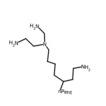 CCCCCC(CCN)CCCCN(CN)CCN